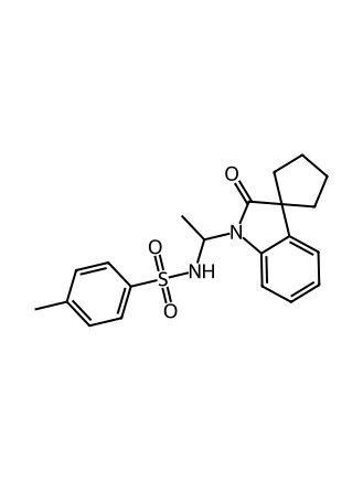 Cc1ccc(S(=O)(=O)NC(C)N2C(=O)C3(CCCC3)c3ccccc32)cc1